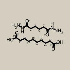 NNC(=O)CCCCC(=O)NN.O=C(O)CCCCCCCCC(=O)O